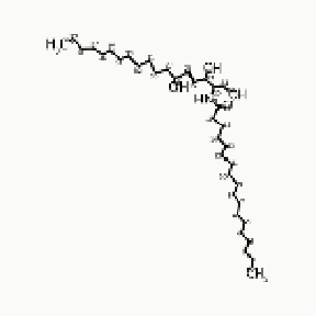 CCCCCCCCCCCCCCCCCC(=O)NC(CO)C(O)/C=C/C(O)CCCCCCCCCCCC